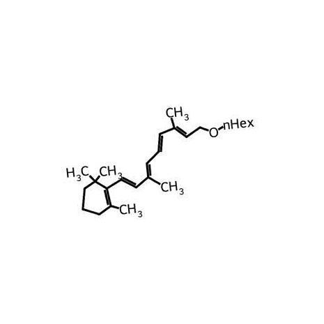 CCCCCCOCC=C(C)C=CC=C(C)C=CC1=C(C)CCCC1(C)C